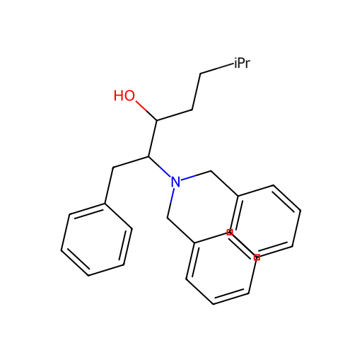 CC(C)CCC(O)C(Cc1ccccc1)N(Cc1ccccc1)Cc1ccccc1